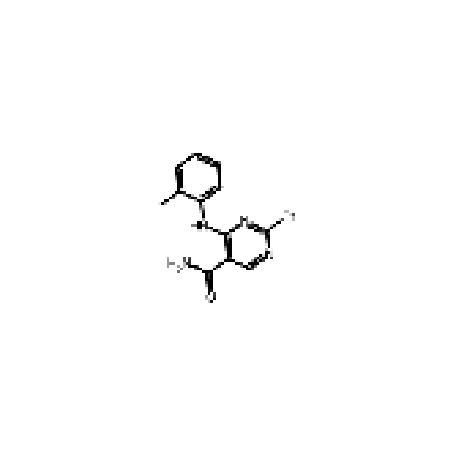 CCc1ncc(C(N)=O)c(Nc2ccccc2C)n1